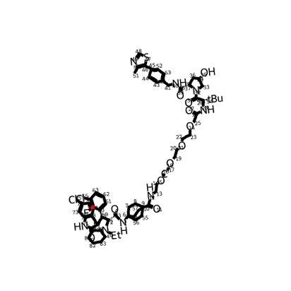 CCN1[C@@H](C(=O)NC23CCC(C(=O)NCCOCCOCCOCCOCC(=O)N[C@H](C(=O)N4C[C@H](O)C[C@H]4C(=O)NCc4ccc(-c5scnc5C)cc4)C(C)(C)C)(CC2)CC3)[C@H](c2cccc(Cl)c2F)[C@]2(C(=O)Nc3cc(Cl)ccc32)C12CCCCC2